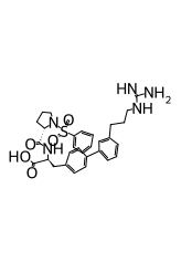 N=C(N)NCCCc1cccc(-c2ccc(C[C@H](NC(=O)[C@@H]3CCCN3S(=O)(=O)c3ccccc3)C(=O)O)cc2)c1